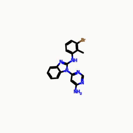 Cc1c(Br)cccc1Nc1nc2ccccc2n1-c1cc(N)ncn1